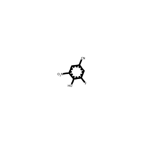 N#Cc1cc(F)c(O)c([N+](=O)[O-])c1